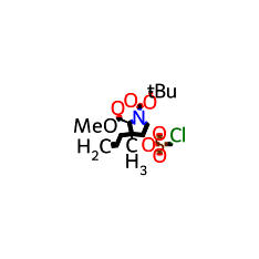 C=CC[C@]1(C)[C@H](OS(=O)(=O)CCl)CN(C(=O)OC(C)(C)C)[C@@H]1C(=O)OC